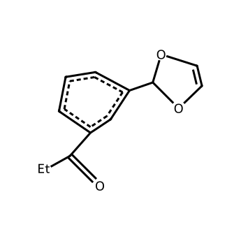 CCC(=O)c1cccc(C2OC=CO2)c1